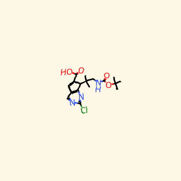 CC(C)(C)OC(=O)NCC(C)(C)C1C(C(=O)O)=Cc2cnc(Cl)nc21